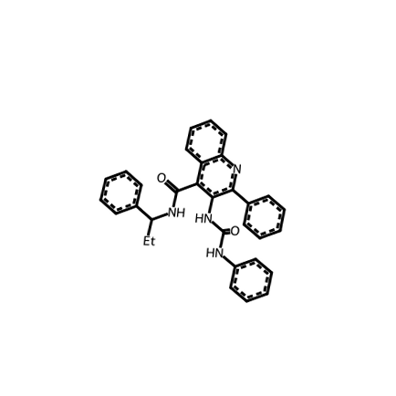 CCC(NC(=O)c1c(NC(=O)Nc2ccccc2)c(-c2ccccc2)nc2ccccc12)c1ccccc1